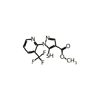 COC(=O)c1cnn(-c2ncccc2C(F)(F)F)c1S